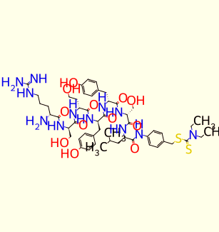 CCN(CC)C(=S)SCc1ccc(NC(=O)[C@@H](CC(C)C)NC(=O)[C@@H](CO)NC(=O)[C@@H](Cc2ccc(O)cc2)NC(=O)[C@@H](Cc2ccc(O)cc2)NC(=O)[C@@H](CCO)NC(=O)[C@@H](CO)NC(=O)[C@H](N)CCCNC(=N)N)cc1